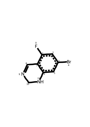 Fc1cc(Br)cc2c1C=NCN2